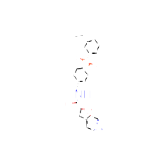 CC(C)c1cccc(S(=O)(=O)c2ccc(CNC(=O)c3cc4ccncc4o3)cc2)c1